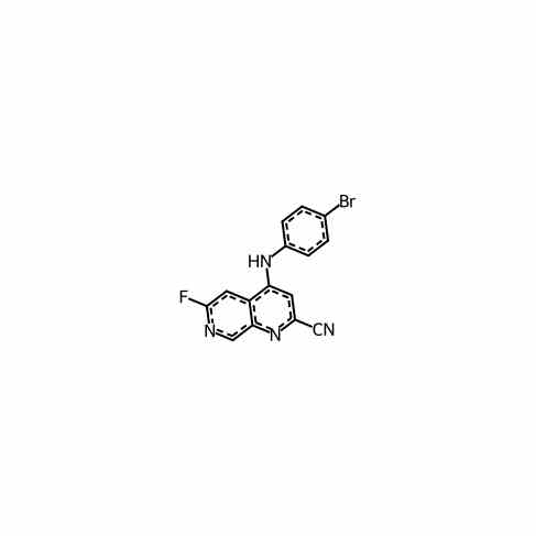 N#Cc1cc(Nc2ccc(Br)cc2)c2cc(F)ncc2n1